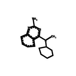 CN(c1nc(N)nc2ccccc12)C1CCCCC1